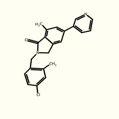 Cc1cc(Cl)ccc1CN1Cc2cc(-c3cccnc3)cc(C)c2C1=O